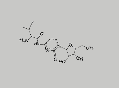 CC(C)C(N)C(=O)Nc1ccn([C@@H]2O[C@H](CO)C(O)C2O)c(=O)n1